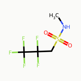 CNS(=O)(=O)CC(F)(F)C(F)(F)F